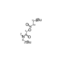 CN(CC(C)(C)C)C(=O)COC(=O)CCC(C)(C)C